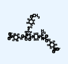 COc1ccc(CS[C@H]2C[C@@H](C(=O)N3CCN(C(C)=NC(=O)OCc4ccc([N+](=O)[O-])cc4)CC3)N(C(=O)OCc3ccc([N+](=O)[O-])cc3)C2)cc1